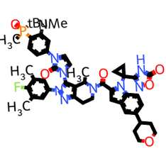 CNc1cc(-n2ccn(-c3c4c(nn3-c3cc(C)c(F)c(C)c3)CCN(C(=O)c3cc5cc(C6CCOCC6)ccc5n3C3(c5noc(=O)[nH]5)CC3)C4C)c2=O)ccc1P(C)(=O)C(C)(C)C